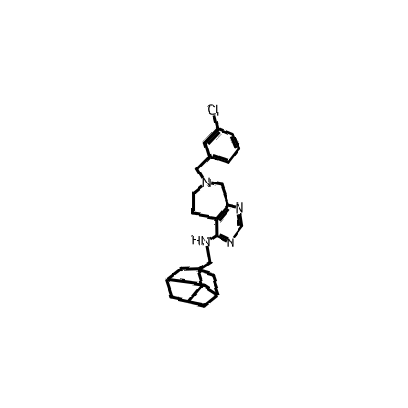 Clc1cccc(CN2CCc3c(ncnc3NCC34CC5CC(CC(C5)C3)C4)C2)c1